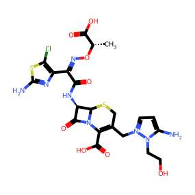 C[C@H](O/N=C(\C(=O)N[C@@H]1C(=O)N2C(C(=O)O)=C(C[n+]3ccc(N)n3CCO)CSC12)c1nc(N)sc1Cl)C(=O)O